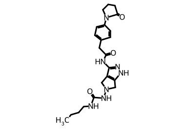 CCCCNC(=O)NN1Cc2[nH]nc(NC(=O)Cc3ccc(N4CCCC4=O)cc3)c2C1